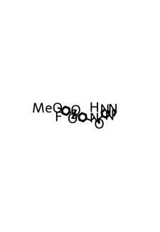 COc1ccc(S(=O)(=O)c2ccc(CNC(=O)c3cnc4nccn4c3)cc2)cc1F